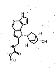 CC(C)(C)OC(=O)NCc1nc2cnc3[nH]ccc3c2n1[C@@H]1C[C@@H]2C[C@H]1C[C@H]2O